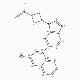 CC(=O)N1CC(n2cnc3ccc(-c4cc(O)cc5ccccc45)cc32)C1